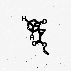 CCOC(=O)C1CC12C(=O)C[C@H]1C[C@@H]2C1(C)C